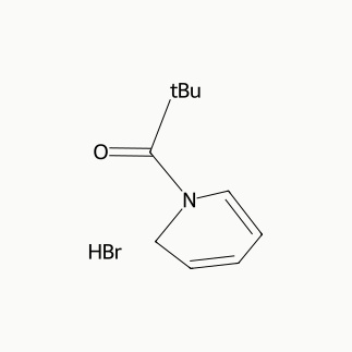 Br.CC(C)(C)C(=O)N1C=CC=CC1